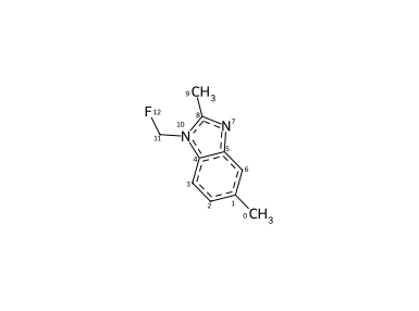 Cc1ccc2c(c1)nc(C)n2CF